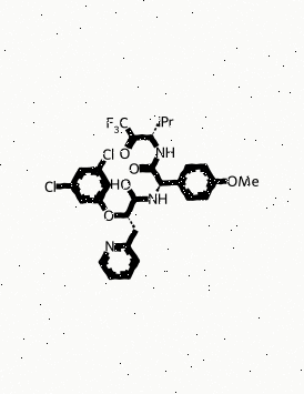 COc1ccc([C@H](NC(O)[C@H](Cc2ccccn2)Oc2cc(Cl)cc(Cl)c2)C(=O)N[C@H](C(=O)C(F)(F)F)C(C)C)cc1